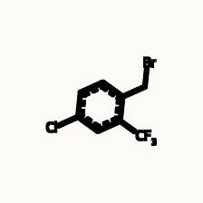 FC(F)(F)c1cc(Cl)ccc1CBr